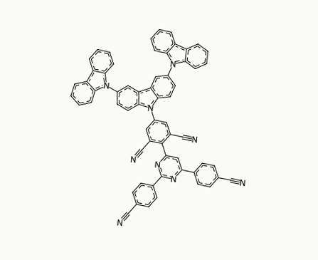 N#Cc1ccc(-c2cc(-c3c(C#N)cc(-n4c5ccc(-n6c7ccccc7c7ccccc76)cc5c5cc(-n6c7ccccc7c7ccccc76)ccc54)cc3C#N)nc(-c3ccc(C#N)cc3)n2)cc1